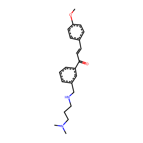 COc1ccc(C=CC(=O)c2cccc(CNCCCN(C)C)c2)cc1